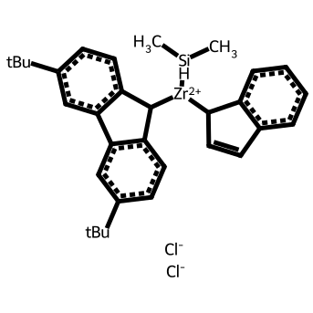 C[SiH](C)[Zr+2]([CH]1C=Cc2ccccc21)[CH]1c2ccc(C(C)(C)C)cc2-c2cc(C(C)(C)C)ccc21.[Cl-].[Cl-]